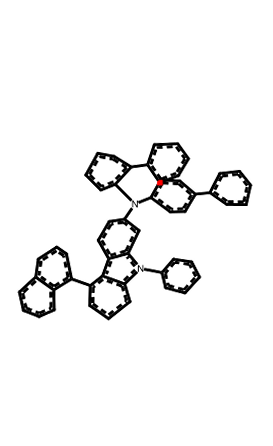 c1ccc(-c2ccc(N(c3ccc4c5c(-c6cccc7ccccc67)cccc5n(-c5ccccc5)c4c3)c3ccccc3-c3ccccc3)cc2)cc1